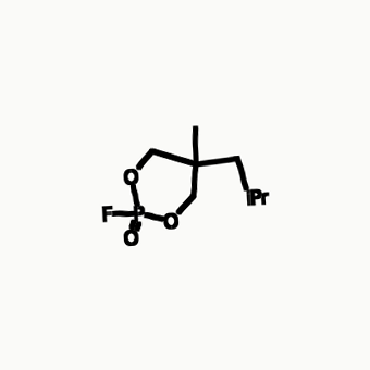 CC(C)CC1(C)COP(=O)(F)OC1